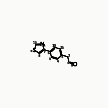 O=CCc1ccc(-c2cscn2)cc1